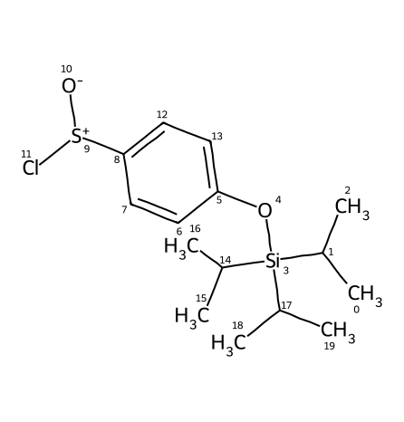 CC(C)[Si](Oc1ccc([S+]([O-])Cl)cc1)(C(C)C)C(C)C